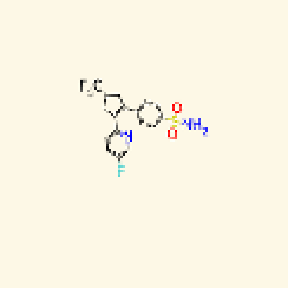 NS(=O)(=O)c1ccc(C2=C(c3ccc(F)cn3)CC(C(F)(F)F)C2)cc1